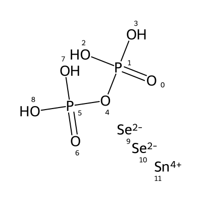 O=P(O)(O)OP(=O)(O)O.[Se-2].[Se-2].[Sn+4]